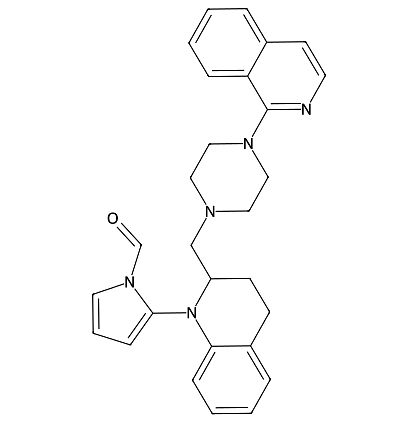 O=Cn1cccc1N1c2ccccc2CCC1CN1CCN(c2nccc3ccccc23)CC1